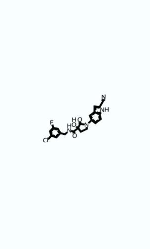 N#Cc1cc2cc(N3CCC(O)(C(=O)NCc4cc(F)cc(Cl)c4)C3=O)ccc2[nH]1